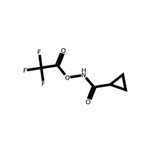 O=C(NOC(=O)C(F)(F)F)C1CC1